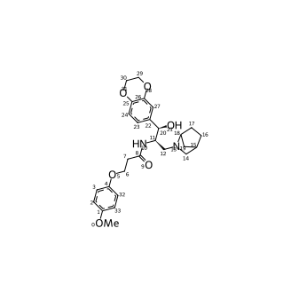 COc1ccc(OCCC(=O)N[C@H](CN2CC3CCC2C3)[C@H](O)c2ccc3c(c2)OCCO3)cc1